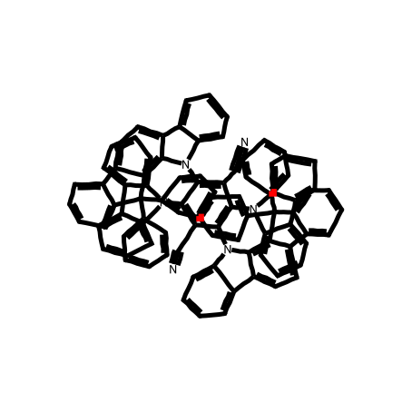 N#Cc1c(-n2c3ccccc3c3ccccc32)c(-n2c3ccccc3c3ccc4c(c32)C(c2ccccc2)(c2ccccc2)c2ccccc2-4)c(C#N)c(-n2c3ccccc3c3ccccc32)c1-n1c2ccccc2c2ccc3c(c21)C(c1ccccc1)(c1ccccc1)c1ccccc1-3